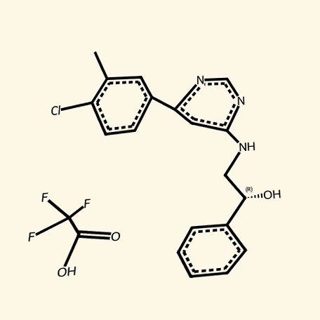 Cc1cc(-c2cc(NC[C@H](O)c3ccccc3)ncn2)ccc1Cl.O=C(O)C(F)(F)F